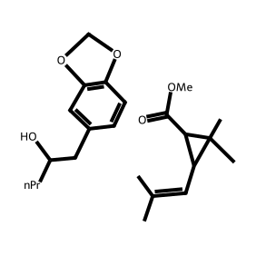 CCCC(O)Cc1ccc2c(c1)OCO2.COC(=O)C1C(C=C(C)C)C1(C)C